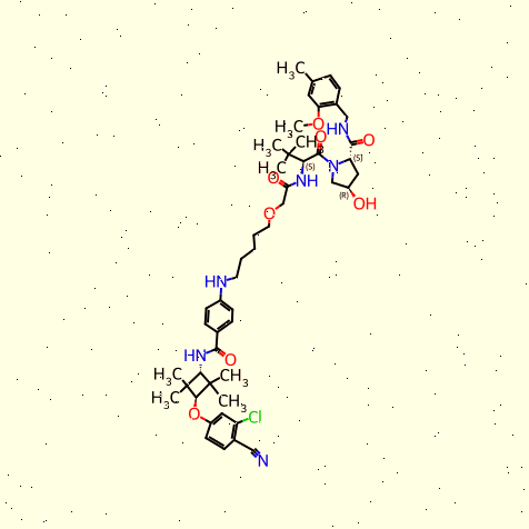 COc1cc(C)ccc1CNC(=O)[C@@H]1C[C@@H](O)CN1C(=O)[C@@H](NC(=O)COCCCCCNc1ccc(C(=O)N[C@H]2C(C)(C)[C@H](Oc3ccc(C#N)c(Cl)c3)C2(C)C)cc1)C(C)(C)C